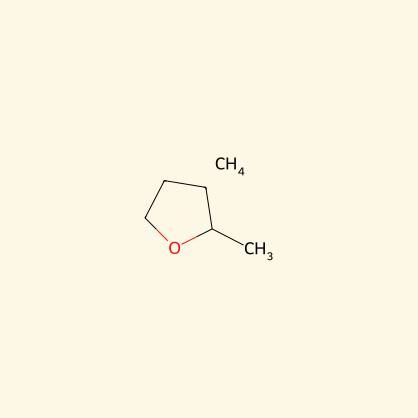 C.CC1CCCO1